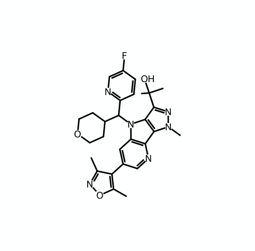 Cc1noc(C)c1-c1cnc2c3c(c(C(C)(C)O)nn3C)n(C(c3ccc(F)cn3)C3CCOCC3)c2c1